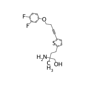 CC(N)(CO)CCc1ccc(C#CCCOc2ccc(F)c(F)c2)s1